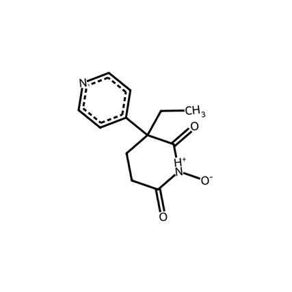 CCC1(c2ccncc2)CCC(=O)[NH+]([O-])C1=O